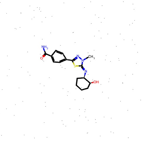 Cn1nc(-c2ccc(C(N)=O)cc2)sc1=N[C@@H]1CCCC[C@@H]1O